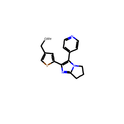 COCc1csc(-c2nc3n(c2-c2ccncc2)CCC3)c1